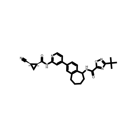 CC(C)(C)c1noc(C(=O)NC2CCCCc3cc(-c4ccnc(NC(=O)[C@H]5C[C@H]5C#N)c4)ccc32)n1